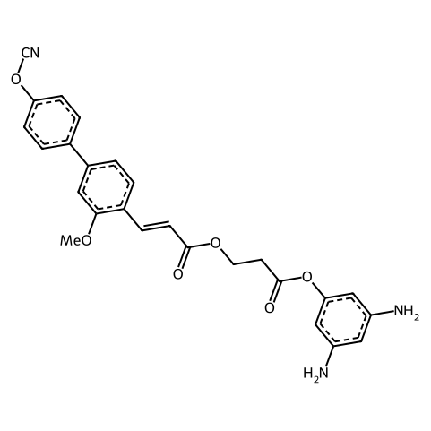 COc1cc(-c2ccc(OC#N)cc2)ccc1/C=C/C(=O)OCCC(=O)Oc1cc(N)cc(N)c1